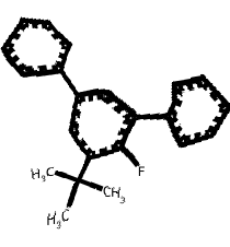 CC(C)(C)c1cc(-c2ccccc2)cc(-c2ccccc2)c1F